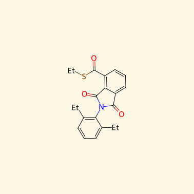 CCSC(=O)c1cccc2c1C(=O)N(c1c(CC)cccc1CC)C2=O